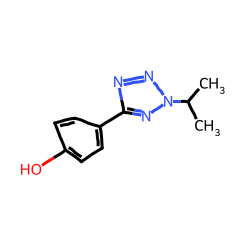 CC(C)n1nnc(-c2ccc(O)cc2)n1